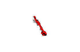 CCCCCCNC(=O)Nc1ccn(CCCCCCOC(=O)CCCc2ccc3ccc4cccc5ccc2c3c45)c(=O)n1